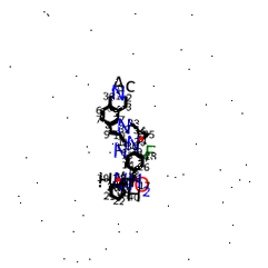 CC(=O)N1CCc2c(ccc3cc(-c4nc5cc(C(=O)N6C[C@H]7CC[C@@H]6[C@@H]7N)cc(F)c5n4C)n(CC4CC4)c23)C1